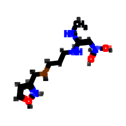 CN/C(=C/[N+](=O)[O-])NCCCSCc1ccon1